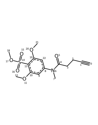 C#CCCC(=O)N(C)c1cc(OC)c(S(=O)(=O)OC)c(OC)c1